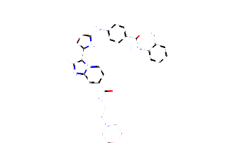 Cc1nc2cc(C(=O)NCCN3CCOCC3)ccn2c1-c1csc(Nc2ccc(C(=O)Nc3ccccc3N)cc2)n1